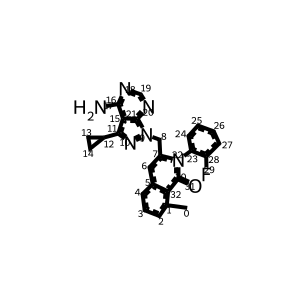 Cc1cccc2cc(Cn3nc(C4CC4)c4c(N)ncnc43)n(-c3ccccc3F)c(=O)c12